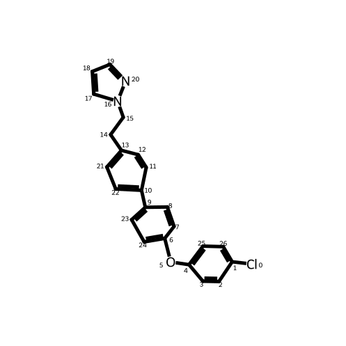 Clc1ccc(Oc2ccc(-c3ccc(CCn4cccn4)cc3)cc2)cc1